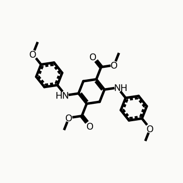 COC(=O)C1=C(Nc2ccc(OC)cc2)CC(C(=O)OC)=C(Nc2ccc(OC)cc2)C1